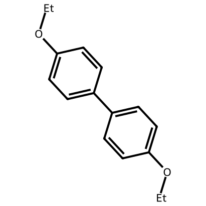 CCOc1ccc(-c2ccc(OCC)cc2)cc1